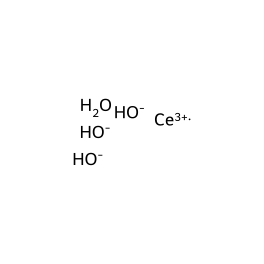 O.[Ce+3].[OH-].[OH-].[OH-]